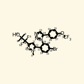 Cn1nc(C(F)(F)C(C)(C)O)cc1-c1ccc(Br)cc1-n1nncc1-c1ccc(OC(F)(F)F)cc1